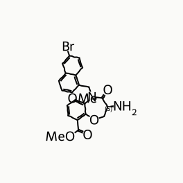 COC(=O)c1cccc2c1OC[C@H](N)C(=O)N2Cc1c(OC)ccc2cc(Br)ccc12